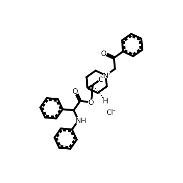 O=C(C[N+]12CCC(CC1)[C@H](OC(=O)C(Nc1ccccc1)c1ccccc1)C2)c1ccccc1.[Cl-]